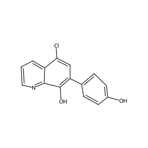 Oc1ccc(-c2cc(Cl)c3cccnc3c2O)cc1